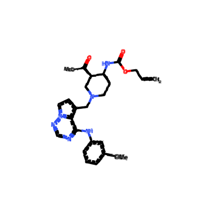 C=CCOC(=O)NC1CCN(Cc2ccn3ncnc(Nc4cccc(OC)c4)c23)CC1C(=O)OC